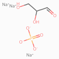 O=CC(O)CO.O=P([O-])([O-])[O-].[Na+].[Na+].[Na+]